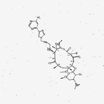 CC[C@H]1OC(=O)[C@@](C)(F)C(=O)[C@H](C)[C@@H](O[C@@H]2O[C@H](C)CC(N(C)C)C2O)[C@](C)(OC)C[C@@H](C)C(=O)[C@H](C)[C@@H](NCC#CCn2cc(-c3cc(N)ncn3)nn2)[C@]1(C)O